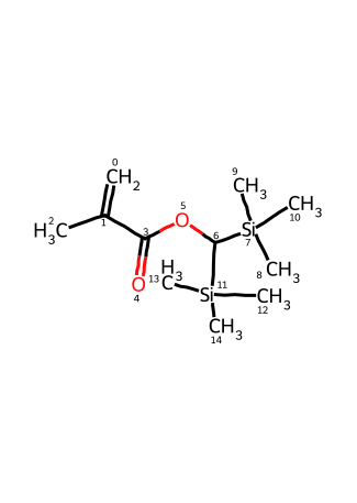 C=C(C)C(=O)OC([Si](C)(C)C)[Si](C)(C)C